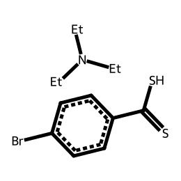 CCN(CC)CC.S=C(S)c1ccc(Br)cc1